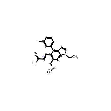 CCn1ncc2c(-c3cccc(Cl)c3)c(/C=C/C(=O)O)c(COC)nc21